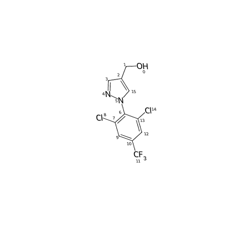 OCc1cnn(-c2c(Cl)cc(C(F)(F)F)cc2Cl)c1